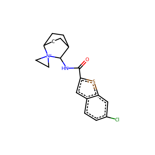 O=C(NC1C2CCC(CC2)[N+]12CC2)c1cc2ccc(Cl)cc2s1